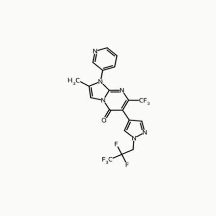 Cc1cn2c(=O)c(-c3cnn(CC(F)(F)C(F)(F)F)c3)c(C(F)(F)F)nc2n1-c1cccnc1